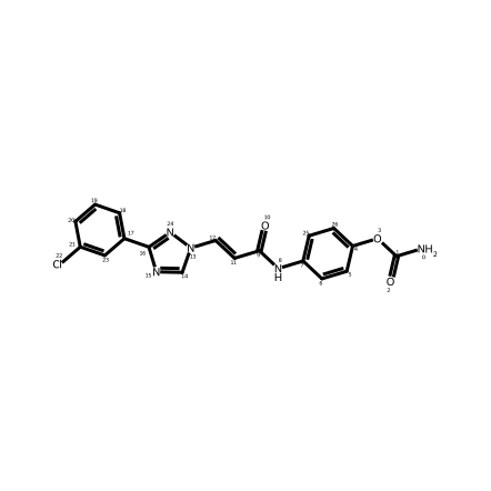 NC(=O)Oc1ccc(NC(=O)C=Cn2cnc(-c3cccc(Cl)c3)n2)cc1